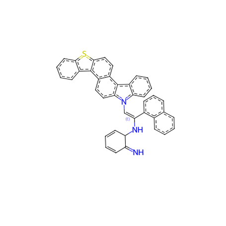 N=C1C=CC=CC1N/C(=C/n1c2ccccc2c2c3ccc4sc5ccccc5c4c3ccc21)c1cccc2ccccc12